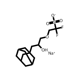 O=S(=O)([O-])C(F)(F)COCC(O)CC12CC3CC(CC(C3)C1)C2.[Na+]